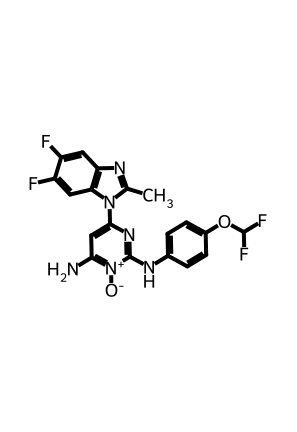 Cc1nc2cc(F)c(F)cc2n1-c1cc(N)[n+]([O-])c(Nc2ccc(OC(F)F)cc2)n1